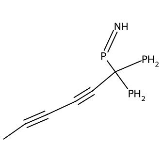 CC#CC#CC(P)(P)P=N